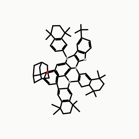 CC1(C)CCC(C)(C)C2CC3=C(C=C21)B1c2oc4ccc(C(C)(C)C)cc4c2N(c2ccc4c(c2)C(C)(C)CCC4(C)C)c2cc(C45CC6CC7CC(C4)C75C6)cc(c21)N3c1cc2c(cc1-c1ccccc1)C(C)(C)CCC2(C)C